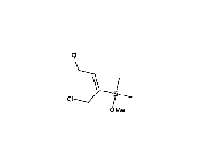 CO[Si](C)(C)C(=CCCl)CCl